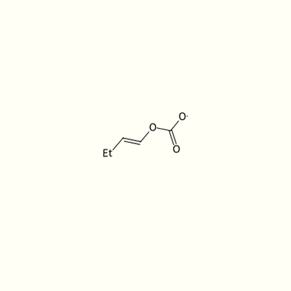 CC/C=C/OC([O])=O